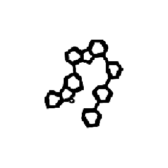 c1ccc(-c2ccc(-c3cccc(-c4cccc5c4Cc4c(-c6ccc7sc8ccccc8c7c6)cccc4-5)c3)cc2)cc1